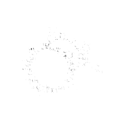 C=C1NC(=O)C([C@@H](C)CC)NC(=O)[C@@H]2CSSC[C@H](NC(=O)CCC(O)O)C(=O)N[C@H](Cc3ccccc3)C(=O)N[C@H](C)C(=O)NC(C[C@@H](C)CC)C(=O)N[C@@H](C(=O)N[C@H](Cc3ccccc3)C(=O)N3CCC[C@H]3C(=O)N2)[C@@H](C)OC(=O)[C@H](CO)NC(=O)[C@H]([C@@H](C)OC)N(C)C(=O)C([SiH2]C)NC(=O)[C@H](C[C@H](C)CC)NC1=O